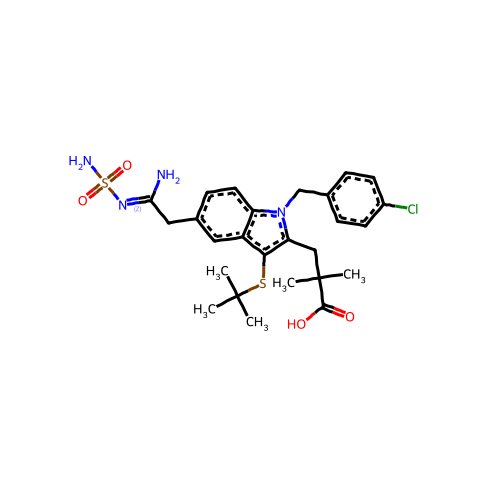 CC(C)(C)Sc1c(CC(C)(C)C(=O)O)n(Cc2ccc(Cl)cc2)c2ccc(C/C(N)=N/S(N)(=O)=O)cc12